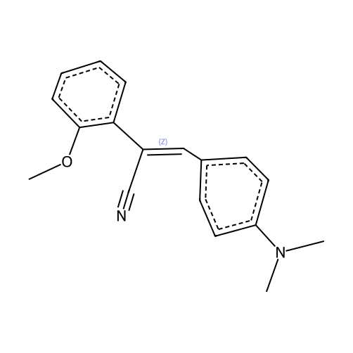 COc1ccccc1/C(C#N)=C/c1ccc(N(C)C)cc1